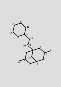 CC1CC2CC(C)CC(NCC3CCCCC3)(C1)C2